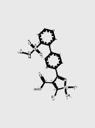 CCC[N+]1(C)N=C(c2ccc(-c3ccccc3S(=O)(=O)NC(C)(C)C)cc2)C(C(=O)OC)=C1CC